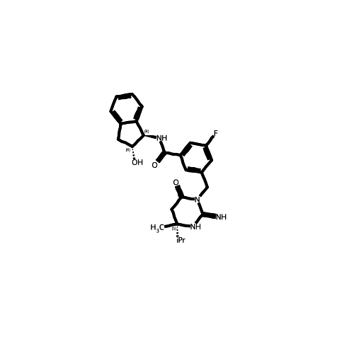 CC(C)[C@]1(C)CC(=O)N(Cc2cc(F)cc(C(=O)N[C@@H]3c4ccccc4C[C@H]3O)c2)C(=N)N1